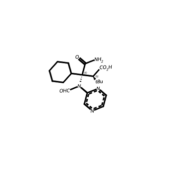 CC(C)(C)[C@H](C(=O)O)[C@](C(N)=O)(C1CCCCC1)N(C=O)c1cnccn1